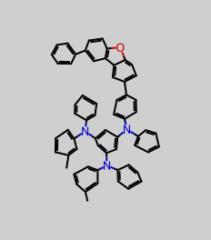 Cc1cccc(N(c2ccccc2)c2cc(N(c3ccccc3)c3ccc(-c4ccc5oc6ccc(-c7ccccc7)cc6c5c4)cc3)cc(N(c3ccccc3)c3cccc(C)c3)c2)c1